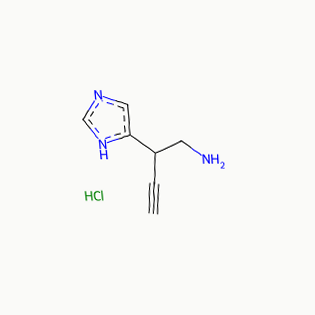 C#CC(CN)c1cnc[nH]1.Cl